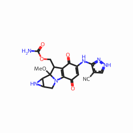 COC12C(COC(N)=O)C3=C(C(=O)C=C(Nc4n[nH]cc4C#N)C3=O)N1CC1NC12